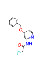 O=C(CF)Nc1cc(OCc2ccccc2)ccn1